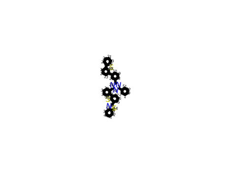 c1ccc(-c2nc(-c3cccc(-c4cccc5c4sc4ccccc45)c3)nc(-c3cccc4sc5c(-c6nc7ccccc7s6)cccc5c34)n2)cc1